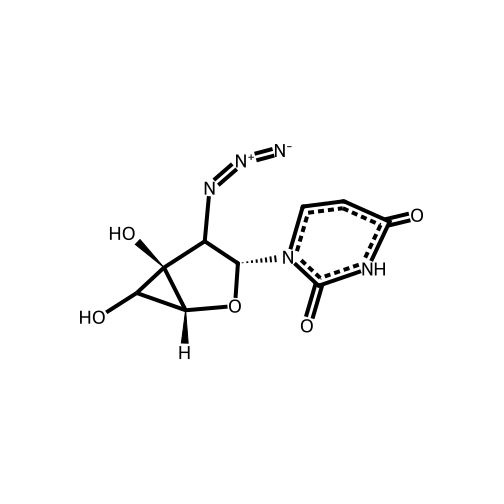 [N-]=[N+]=NC1[C@H](n2ccc(=O)[nH]c2=O)O[C@@H]2C(O)[C@]12O